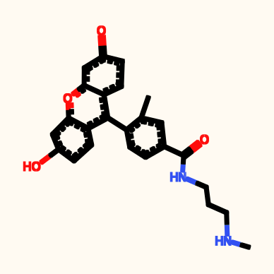 CNCCCNC(=O)c1ccc(-c2c3ccc(=O)cc-3oc3cc(O)ccc23)c(C)c1